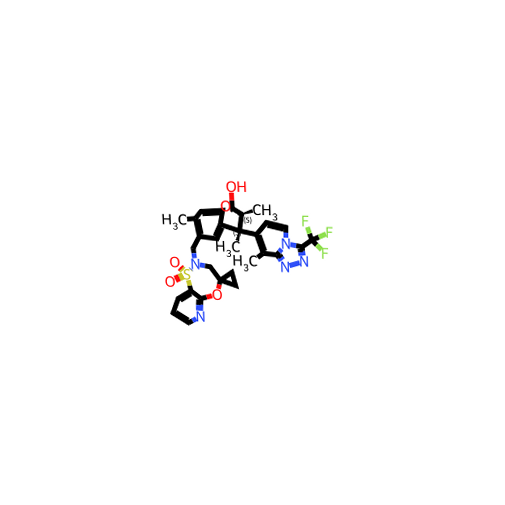 Cc1ccc([C@@](C)(c2ccn3c(C(F)(F)F)nnc3c2C)[C@H](C)C(=O)O)cc1CN1CC2(CC2)Oc2ncccc2S1(=O)=O